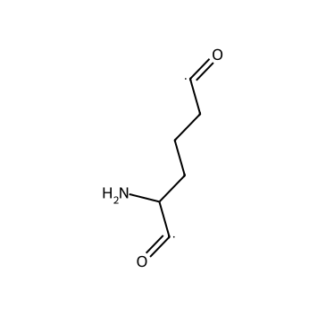 NC([C]=O)CCC[C]=O